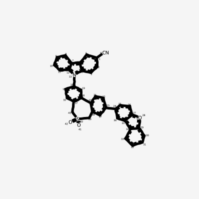 N#Cc1ccc2c(c1)c1ccccc1n2-c1ccc2c(c1)-c1ccc(-c3ccc4oc5ccccc5c4c3)cc1CS(=O)(=O)C2